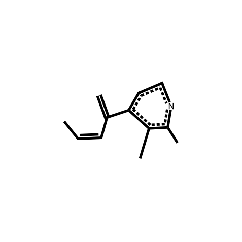 C=C(/C=C\C)c1ccnc(C)c1C